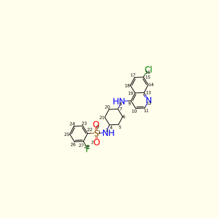 O=S(=O)(NC1CCC(Nc2ccnc3cc(Cl)ccc23)CC1)c1ccccc1F